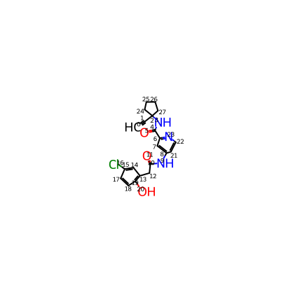 C#CC1(NC(=O)c2cc(NC(=O)Cc3cc(Cl)ccc3O)ccn2)CCCC1